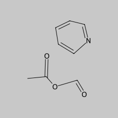 CC(=O)OC=O.c1ccncc1